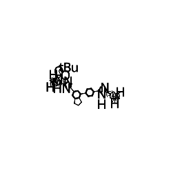 CC(C)(C)OC(=O)N1[C@@H](c2ncc(-c3cc4c(c(-c5ccc(-c6cnc([C@H]7C[C@@H]8C[C@@H]8C7)[nH]6)cc5)c3)CCC4)[nH]2)C[C@H]2C[C@H]21